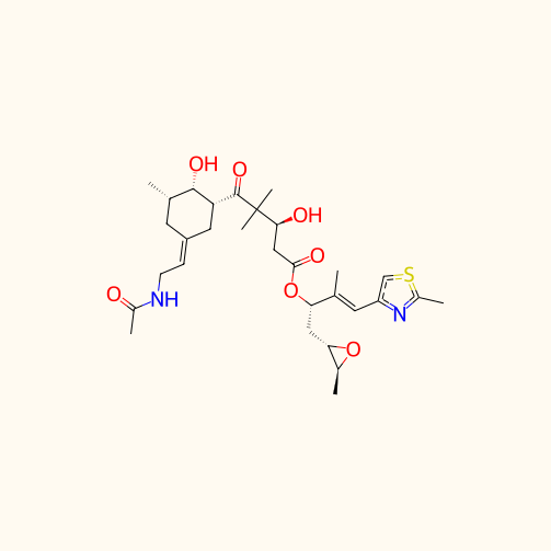 CC(=O)NC/C=C1\C[C@H](C)[C@H](O)[C@H](C(=O)C(C)(C)[C@@H](O)CC(=O)O[C@@H](C[C@@H]2O[C@H]2C)/C(C)=C/c2csc(C)n2)C1